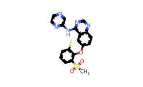 CS(=O)(=O)c1cccc(F)c1Oc1ccc2ncnc(Nc3cnccn3)c2c1